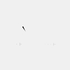 CC[C@H](C=O)CC(=O)O